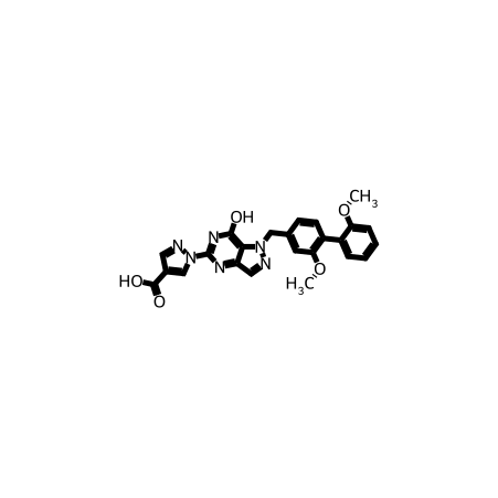 COc1ccccc1-c1ccc(Cn2ncc3nc(-n4cc(C(=O)O)cn4)nc(O)c32)cc1OC